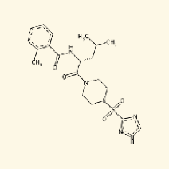 Cc1ccccc1C(=O)N[C@H](CC(C)C)C(=O)N1CCN(S(=O)(=O)c2nc[nH]n2)CC1